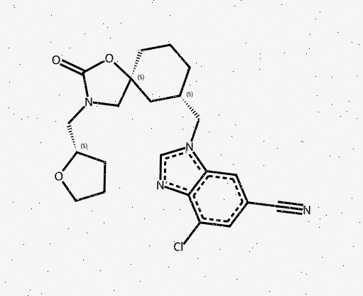 N#Cc1cc(Cl)c2ncn(C[C@H]3CCC[C@]4(C3)CN(C[C@@H]3CCCO3)C(=O)O4)c2c1